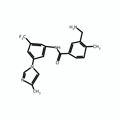 Cc1cn(-c2cc(NC(=O)c3ccc(C)c(CN)c3)cc(C(F)(F)F)c2)cn1